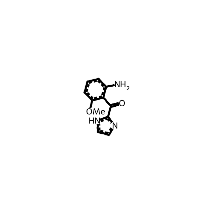 COc1cccc(N)c1C(=O)c1ncc[nH]1